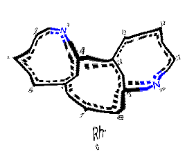 [Rh].c1cnc2c(c1)ccc1ncccc12